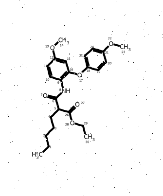 CCCCCC(C(=O)Nc1ccc(OC)cc1Oc1ccc(OC)cc1)C(=O)OCC